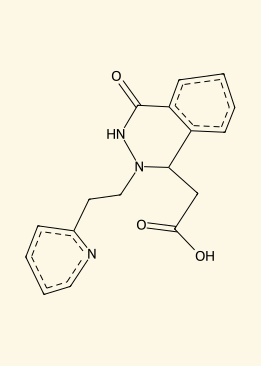 O=C(O)CC1c2ccccc2C(=O)NN1CCc1ccccn1